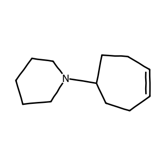 C1=CCCC(N2CCCCC2)CC1